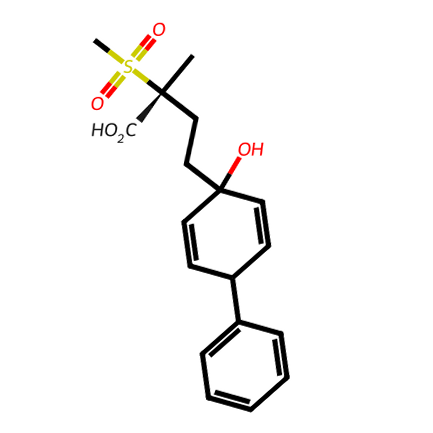 C[C@@](CCC1(O)C=CC(c2ccccc2)C=C1)(C(=O)O)S(C)(=O)=O